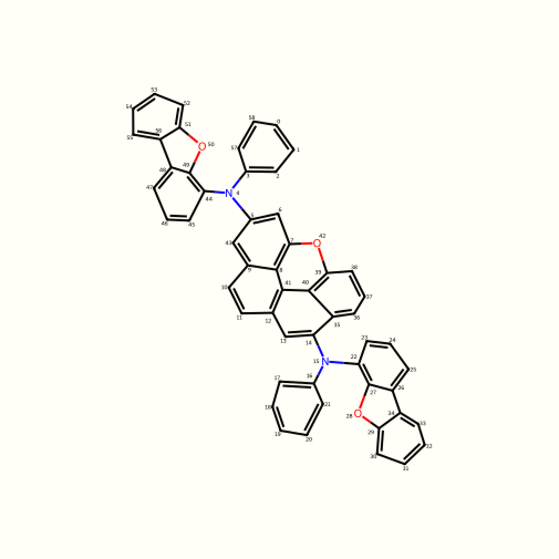 c1ccc(N(c2cc3c4c(ccc5cc(N(c6ccccc6)c6cccc7c6oc6ccccc67)c6cccc(c6c54)O3)c2)c2cccc3c2oc2ccccc23)cc1